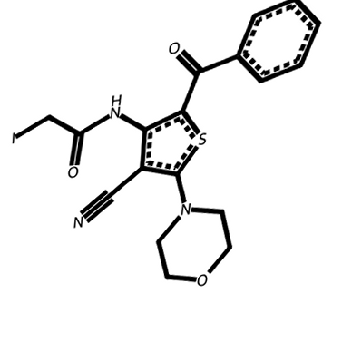 N#Cc1c(N2CCOCC2)sc(C(=O)c2ccccc2)c1NC(=O)CI